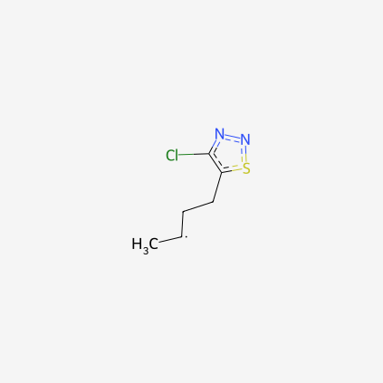 C[CH]CCc1snnc1Cl